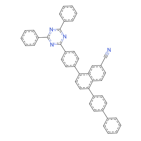 N#Cc1ccc2c(-c3ccc(-c4ccccc4)cc3)ccc(-c3ccc(-c4nc(-c5ccccc5)nc(-c5ccccc5)n4)cc3)c2c1